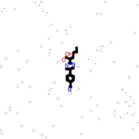 CC=CC=C(C(=O)O)c1ncc(-c2ccc(C#N)cc2)cn1